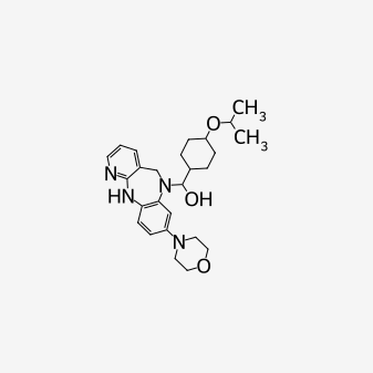 CC(C)OC1CCC(C(O)N2Cc3cccnc3Nc3ccc(N4CCOCC4)cc32)CC1